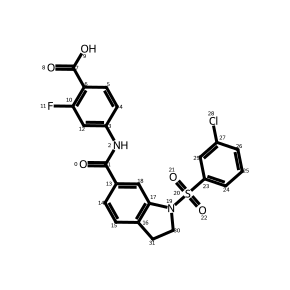 O=C(Nc1ccc(C(=O)O)c(F)c1)c1ccc2c(c1)N(S(=O)(=O)c1cccc(Cl)c1)CC2